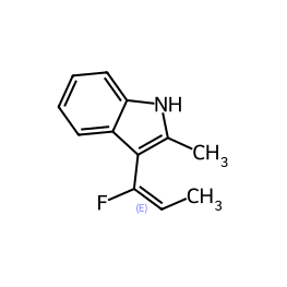 C/C=C(/F)c1c(C)[nH]c2ccccc12